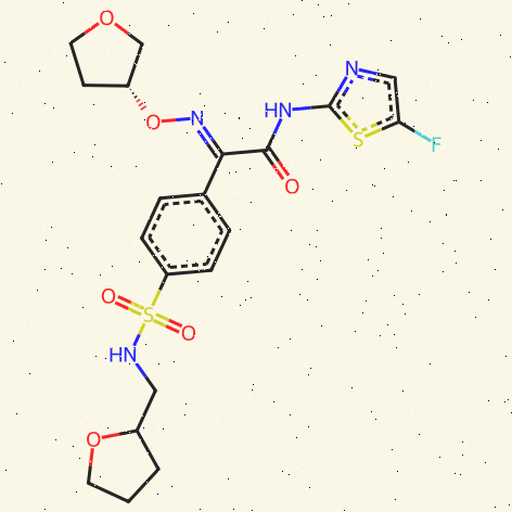 O=C(Nc1ncc(F)s1)/C(=N/O[C@@H]1CCOC1)c1ccc(S(=O)(=O)NCC2CCCO2)cc1